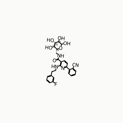 N#Cc1ccccc1-c1ccc(C(=O)NC[C@H]2OC(O)[C@H](O)[C@@H](O)[C@@H]2O)c(NCCc2cccc(F)c2)n1